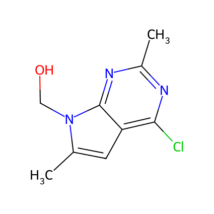 Cc1nc(Cl)c2cc(C)n(CO)c2n1